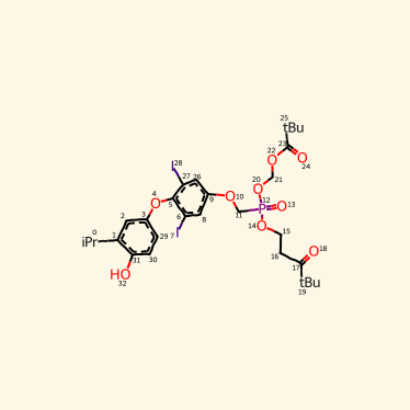 CC(C)c1cc(Oc2c(I)cc(OCP(=O)(OCCC(=O)C(C)(C)C)OCOC(=O)C(C)(C)C)cc2I)ccc1O